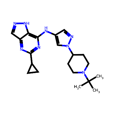 CC(C)(C)N1CCC(n2cc(Nc3nc(C4CC4)nc4cn[nH]c34)cn2)CC1